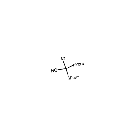 CCCCCC(O)(CC)CCCCC